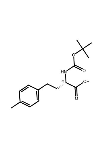 Cc1ccc(CC[C@H](NC(=O)OC(C)(C)C)C(=O)O)cc1